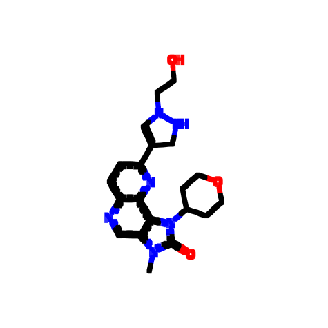 Cn1c(=O)n(C2CCOCC2)c2c3nc(C4=CN(CCO)NC4)ccc3ncc21